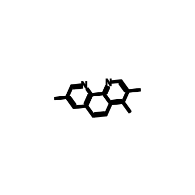 Cc1cnc2c(ccc3c(C)c(C)cnc32)c1